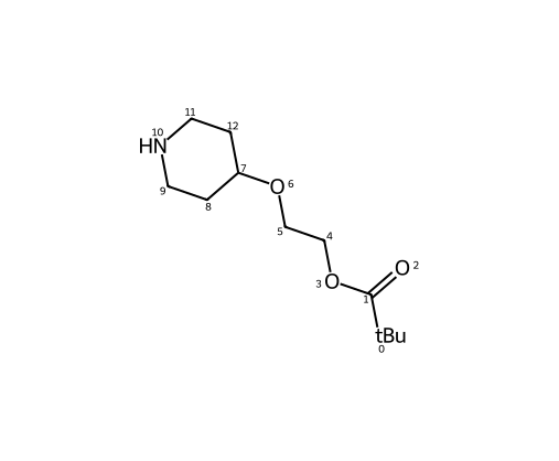 CC(C)(C)C(=O)OCCOC1CCNCC1